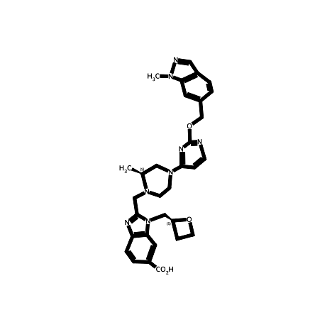 C[C@H]1CN(c2ccnc(OCc3ccc4cnn(C)c4c3)n2)CCN1Cc1nc2ccc(C(=O)O)cc2n1C[C@@H]1CCO1